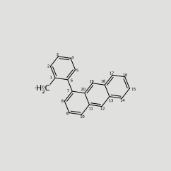 [CH2]c1ccccc1-c1cccc2cc3ccccc3cc12